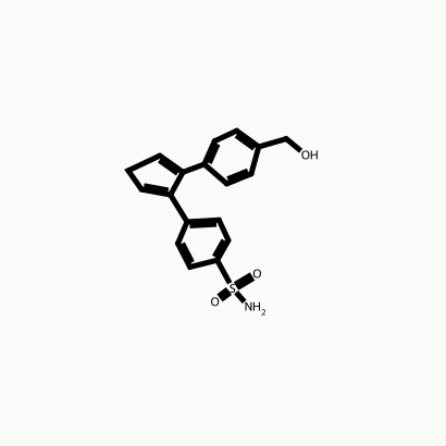 NS(=O)(=O)c1ccc(C2=CCC=C2c2ccc(CO)cc2)cc1